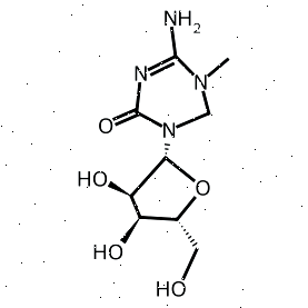 CN1CN([C@@H]2O[C@H](CO)[C@@H](O)[C@H]2O)C(=O)N=C1N